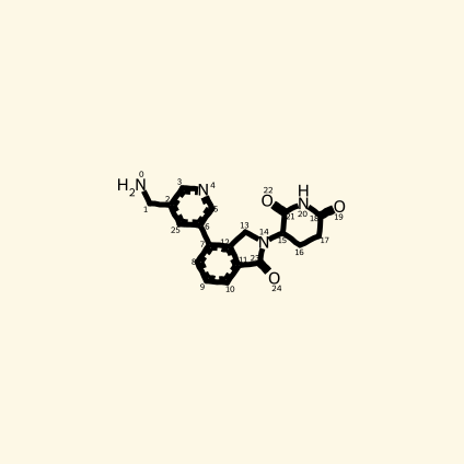 NCc1cncc(-c2cccc3c2CN(C2CCC(=O)NC2=O)C3=O)c1